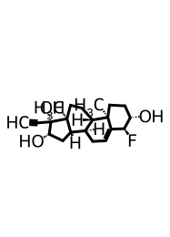 C#C[C@]1(O)[C@@H](O)C[C@H]2[C@@H]3CC=C4[C@H](F)[C@@H](O)CC[C@]4(C)[C@H]3CC[C@@]21C